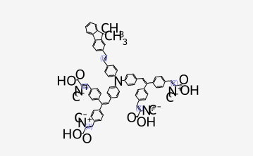 [C-]#[N+]/C(=C\c1ccc(C(=Cc2ccc(N(c3ccc(C=C(c4ccc(/C=C(\[N+]#[C-])C(=O)O)cc4)c4ccc(/C=C(\[N+]#[C-])C(=O)O)cc4)cc3)c3ccc(/C=C/c4ccc5c(c4)C(C)(C)c4ccccc4-5)cc3)cc2)c2ccc(/C=C(\[N+]#[C-])C(=O)O)cc2)cc1)C(=O)O